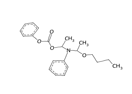 CCCCOC(C)N(c1ccccc1)C(C)OC(=O)Oc1ccccc1